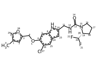 Cc1cc(COc2cc3[nH]c(CNC(=O)N4CCC[C@@H]4C(F)F)cc3cc2Cl)on1